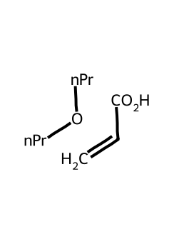 C=CC(=O)O.CCCOCCC